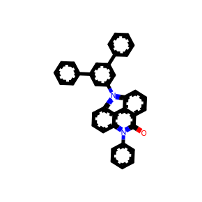 O=c1c2cccc3c2c2c(cccc2n3-c2cc(-c3ccccc3)cc(-c3ccccc3)c2)n1-c1ccccc1